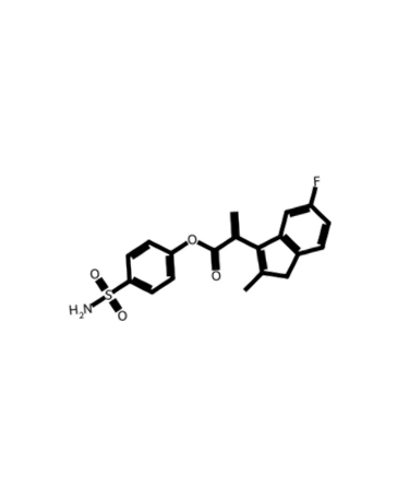 C=C(C(=O)Oc1ccc(S(N)(=O)=O)cc1)C1=C(C)Cc2ccc(F)cc21